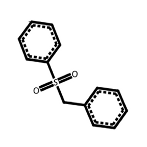 O=S(=O)(Cc1ccccc1)c1cc[c]cc1